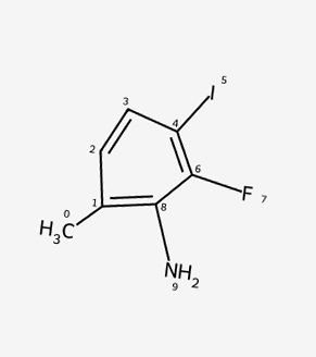 Cc1ccc(I)c(F)c1N